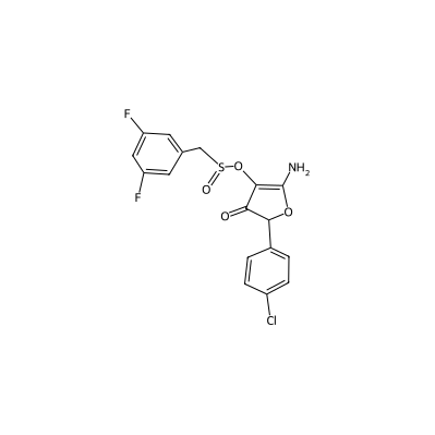 NC1=C(OS(=O)Cc2cc(F)cc(F)c2)C(=O)C(c2ccc(Cl)cc2)O1